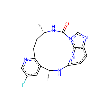 C[C@H]1CCc2ncc(F)cc2[C@@H](C)Nc2ccc3ncn(c3n2)C(=O)N1